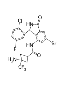 NC1(C(F)(F)F)CC(C(=O)Nc2cc(Br)cc3c2C(c2cc(F)ccc2Cl)NC3=O)C1